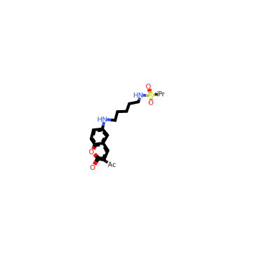 CC(=O)c1cc2cc(NCCCCCNS(=O)(=O)C(C)C)ccc2oc1=O